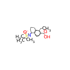 CCc1c(C(=O)O)ccc2c1CCCC2=N[S@+]([O-])C(C)(C)C